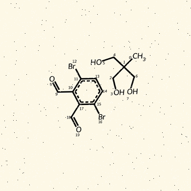 CC(CO)(CO)CO.O=Cc1c(Br)ccc(Br)c1C=O